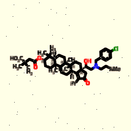 CNCCN(Cc1ccc(Cl)cc1)CC(O)[C@@]12CC[C@]3(C)[C@H](CCC4[C@@]5(C)CC[C@H](OC(=O)CC(C)(C)C(=O)O)C(C)(C)[C@@H]5CC[C@]43C)C1=C(C(C)C)C(=O)C2